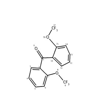 O=C(c1ccccc1OC(F)(F)F)c1ccccc1OC(F)(F)F